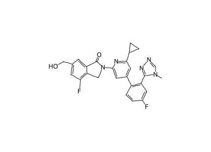 Cn1cnnc1-c1cc(F)ccc1-c1cc(C2CC2)nc(N2Cc3c(F)cc(CO)cc3C2=O)c1